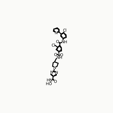 O=C(NO)c1cnc(N2CCC(CNS(=O)(=O)c3ccc(C(=O)Nc4ccc(Cl)c(-c5ccccn5)c4)c(Cl)c3)CC2)nc1